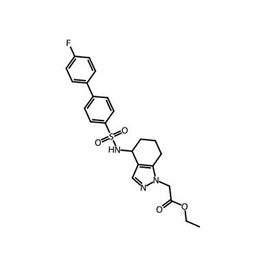 CCOC(=O)Cn1ncc2c1CCCC2NS(=O)(=O)c1ccc(-c2ccc(F)cc2)cc1